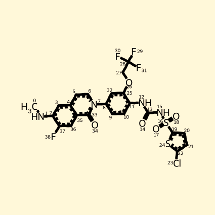 CNc1cc2ccn(-c3ccc(NC(=O)NS(=O)(=O)c4ccc(Cl)s4)c(OCC(F)(F)F)c3)c(=O)c2cc1F